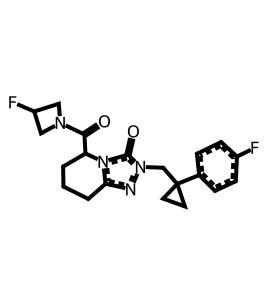 O=C(C1CCCc2nn(CC3(c4ccc(F)cc4)CC3)c(=O)n21)N1CC(F)C1